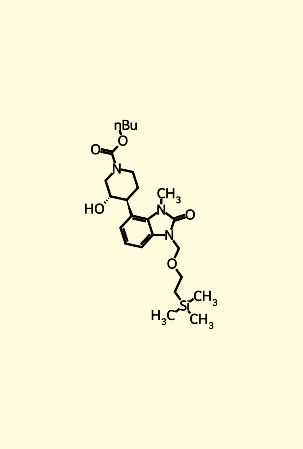 CCCCOC(=O)N1CC[C@@H](c2cccc3c2n(C)c(=O)n3COCC[Si](C)(C)C)[C@H](O)C1